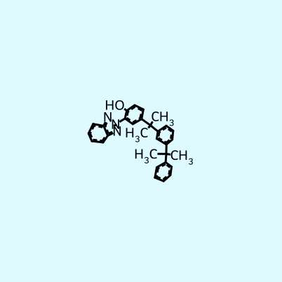 CC(C)(c1ccccc1)c1cccc(C(C)(C)c2ccc(O)c(-n3nc4ccccc4n3)c2)c1